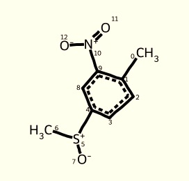 Cc1ccc([S+](C)[O-])cc1[N+](=O)[O-]